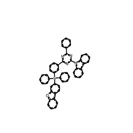 c1ccc(-c2nc(-c3cccc([Si](c4ccccc4)(c4ccccc4)c4ccc5c(c4)oc4ccccc45)c3)nc(-n3c4ccccc4c4ccccc43)n2)cc1